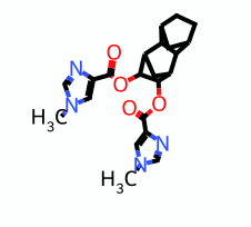 Cn1cnc(C(=O)OC2C3CC(C2OC(=O)c2cn(C)cn2)C2C4CCC(C4)C32)c1